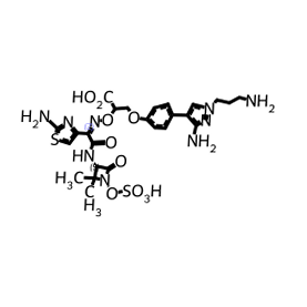 CC1(C)[C@H](NC(=O)/C(=N\OC(COc2ccc(-c3cn(CCCN)nc3N)cc2)C(=O)O)c2csc(N)n2)C(=O)N1OS(=O)(=O)O